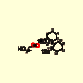 CC(C)(C)C1CCCCC1.CC(C)(C)C1CCCCC1.O=C(O)OOC(=O)O